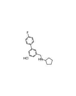 Cl.Fc1ccc(-c2cccc(CNC3CCCC3)c2)cc1